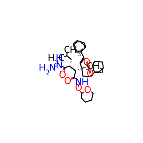 CC(C)C[C@@H](C(=O)NN)[C@@H](C(=O)NOC1CCCCO1)C(/C=C/c1ccccc1)(CCC1CCCCC1)S(C)(=O)=O